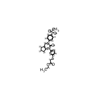 CCOC(=O)CSc1cnc(NC(=O)N(CC2CCCC2)c2ccc(S(C)(=O)=O)cc2)s1